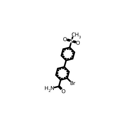 CS(=O)(=O)c1ccc(-c2ccc(C(N)=O)c(Br)c2)cc1